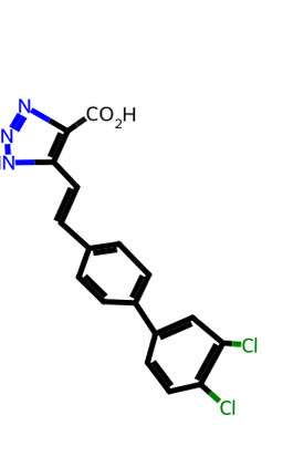 O=C(O)c1nn[nH]c1/C=C/c1ccc(-c2ccc(Cl)c(Cl)c2)cc1